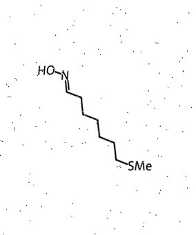 CSCCCCCC/C=N/O